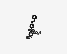 CC1(O)CCN(S(=O)(=O)c2ccc(OCc3ccccc3)cc2)C(C(=O)O)C1